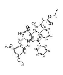 CCOC(=O)Cn1c(=O)n(C(CN(C=O)Cc2cc(OC)cc(OC)c2)C(=O)O)c2c(C(=O)c3ccccc3)cccc21